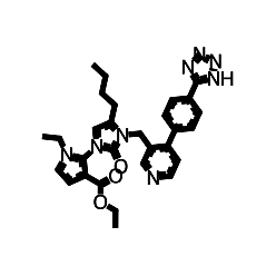 CCCCc1cn(-c2c(C(=O)OCC)ccn2CC)c(=O)n1Cc1cnccc1-c1ccc(-c2nnn[nH]2)cc1